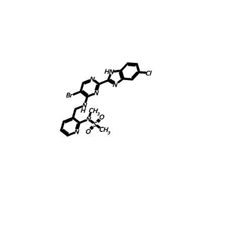 CN(c1ncccc1CNc1nc(-c2nc3cc(Cl)ccc3[nH]2)ncc1Br)S(C)(=O)=O